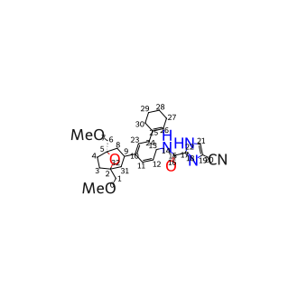 COCC12CC[C@@](COC)(CC(C(/C=C\CNC(=O)c3nc(C#N)c[nH]3)=C/CC3=CCCCC3)C1)O2